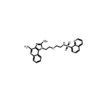 CCCCc1nc2c(N)nc3ccccc3c2n1CCOCCNS(=O)(=O)c1cccc2cccnc12